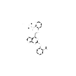 CN(c1ncccc1NCc1nc(Nc2ccccc2C(=O)O)nc2[nH]ccc12)S(C)(=O)=O